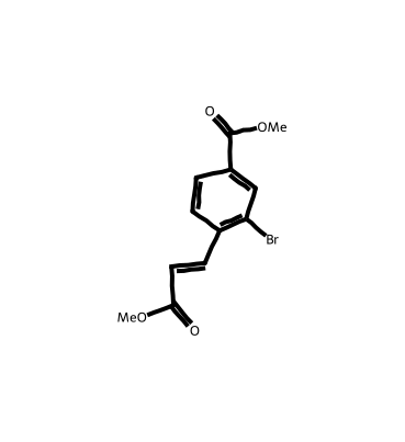 COC(=O)C=Cc1ccc(C(=O)OC)cc1Br